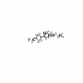 CN(C)CCNCc1ccc(-c2ccc(C(F)(F)F)cc2)nc1